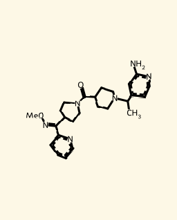 CON=C(c1ccccn1)C1CCN(C(=O)C2CCN(C(C)c3ccnc(N)c3)CC2)CC1